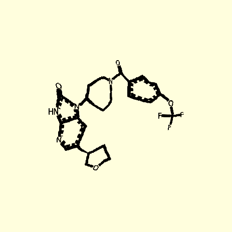 O=C(c1ccc(OC(F)(F)F)cc1)N1CCC(n2c(=O)[nH]c3ncc([C@H]4CCOC4)cc32)CC1